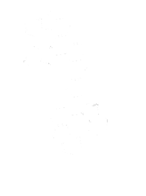 c1ccc2c(c1)nc1c3cc(Oc4ccc5c(c4)c4nc6ccccc6n4c4c5ccc5sc6ccccc6c54)ccc3c3ccc4sc5ccccc5c4c3n21